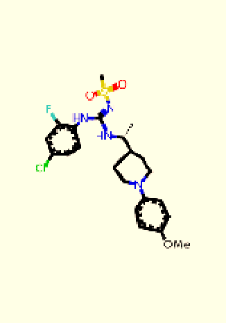 COc1ccc(N2CCC([C@@H](C)NC(=NS(C)(=O)=O)Nc3ccc(Cl)cc3F)CC2)cc1